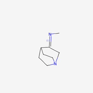 C/N=C1\CN2CCC1CC2